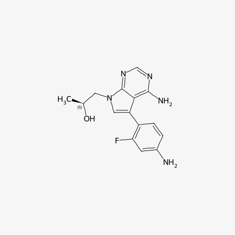 C[C@H](O)Cn1cc(-c2ccc(N)cc2F)c2c(N)ncnc21